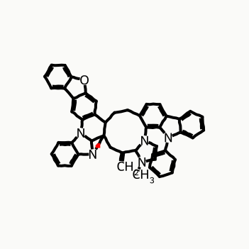 C=C1CC23CCN4c5ccccc5N(c5cc6c(cc5C2CCc2ccc5c7ccccc7n(-c7ccccc7)c5c2N2C=CN(C)C12)oc1ccccc16)C43